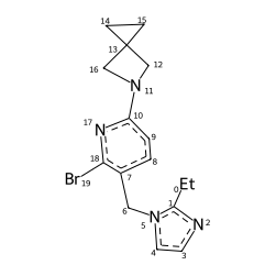 CCc1nccn1Cc1ccc(N2CC3(CC3)C2)nc1Br